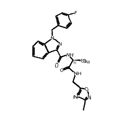 Cc1noc(CNC(=O)[C@@H](NC(=O)c2nn(Cc3ccc(F)cc3)c3ccccc23)C(C)(C)C)n1